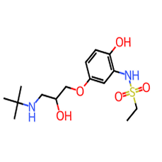 CCS(=O)(=O)Nc1cc(OCC(O)CNC(C)(C)C)ccc1O